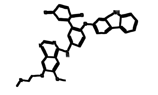 COCCOc1cc2ncnc(Nc3ccc(Oc4ccc5c(c4)[nH]c4ccccc45)c(C4=CC(=O)C=CC4=O)c3)c2cc1OC